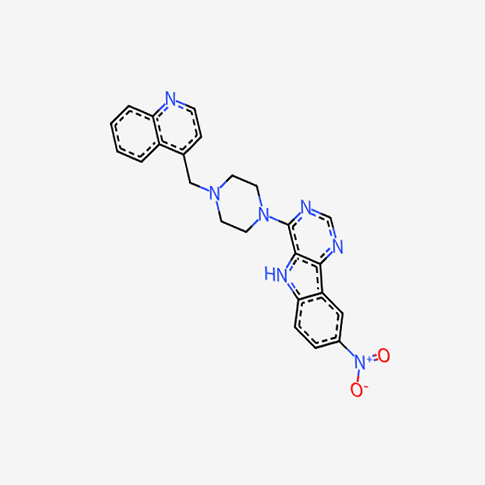 O=[N+]([O-])c1ccc2[nH]c3c(N4CCN(Cc5ccnc6ccccc56)CC4)ncnc3c2c1